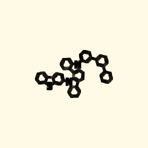 c1ccc(-c2cccc(-c3cccc(-n4c5ccccc5c5c4ccc4c6ccccc6n(-c6ccc7c(c6)sc6ccccc67)c45)c3)c2)cc1